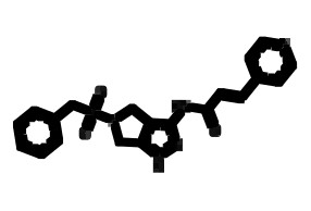 O=C(C=Cc1ccncc1)Nc1n[nH]c2c1CN(S(=O)(=O)Cc1ccccc1)C2